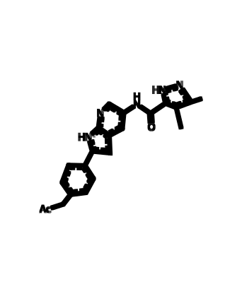 CC(=O)Cc1ccc(-c2cc3cc(NC(=O)c4[nH]nc(C)c4C)cnc3[nH]2)cc1